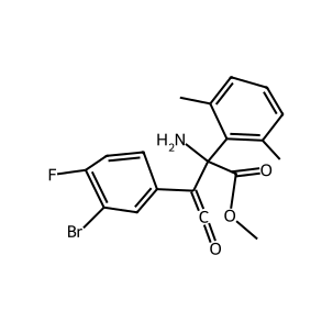 COC(=O)C(N)(C(=C=O)c1ccc(F)c(Br)c1)c1c(C)cccc1C